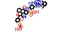 Cc1cccc(C)c1Nc1nc(O)nc(Nc2cc(Nc3ccc4c5c3C(=O)C3CCCCC3c5c(C(=O)c3cccc(SOOO)c3)c(=O)n4C)c(OS(=O)O)cc2S(=O)(=O)O)n1